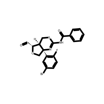 O=C[C@H]1OC[C@]2(c3cc(Br)ccc3F)N=C(NC(=O)c3ccccc3)SC[C@H]12